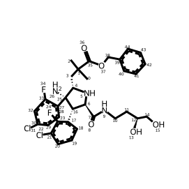 CC(C)(C[C@@H]1N[C@@H](C(=O)NCC[C@H](O)CO)[C@H](c2cccc(Cl)c2F)[C@@]1(N)c1ccc(Cl)cc1F)C(=O)OCc1ccccc1